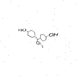 CC(C1CCC(O)CC1)C1CCC(O)CC1